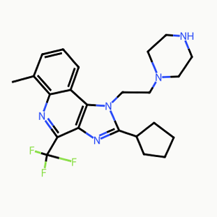 Cc1cccc2c1nc(C(F)(F)F)c1nc(C3CCCC3)n(CCN3CCNCC3)c12